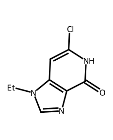 CCn1cnc2c(=O)[nH]c(Cl)cc21